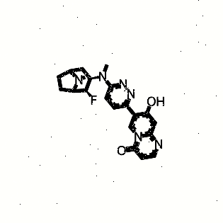 CN1C2CCC1[C@H](F)[C@H](N(C)c1ccc(-c3cn4c(=O)ccnc4cc3O)nn1)C2